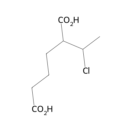 CC(Cl)C(CCCC(=O)O)C(=O)O